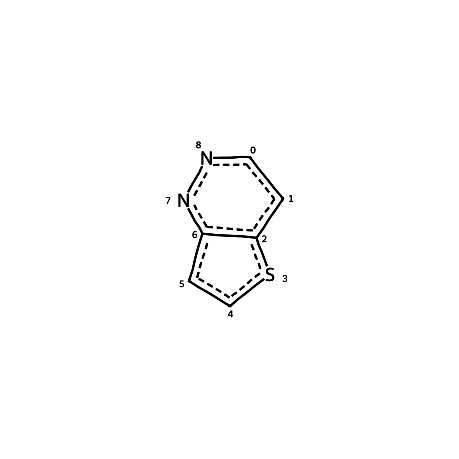 c1cc2sccc2nn1